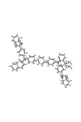 CC1(C)c2ccccc2N(c2ccc(-c3ccc(-c4ccc(N(c5ccc(-c6nc7ccccc7o6)cc5)c5ccc6ccccc6c5)cc4)cc3)cc2)c2ccc(-c3nc4ccccc4o3)cc21